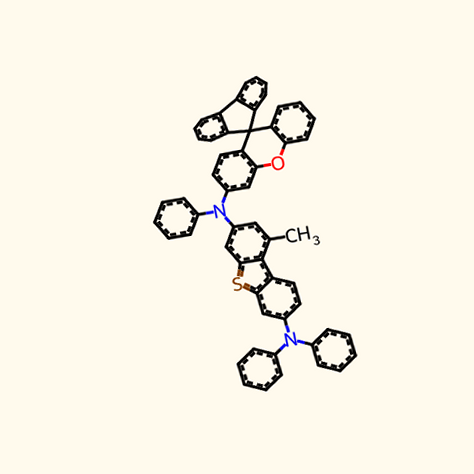 Cc1cc(N(c2ccccc2)c2ccc3c(c2)Oc2ccccc2C32c3ccccc3-c3ccccc32)cc2sc3cc(N(c4ccccc4)c4ccccc4)ccc3c12